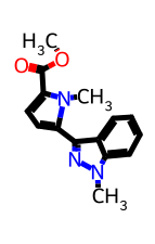 COC(=O)c1ccc(-c2nn(C)c3ccccc23)n1C